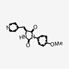 COc1ccc(N2C(=O)N/C(=C\c3ccncc3)C2=O)cc1